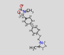 C[C@@H]1CCCN1CCc1ccc(-c2ccc([C@H]3COC(=O)N3C)cc2)cc1